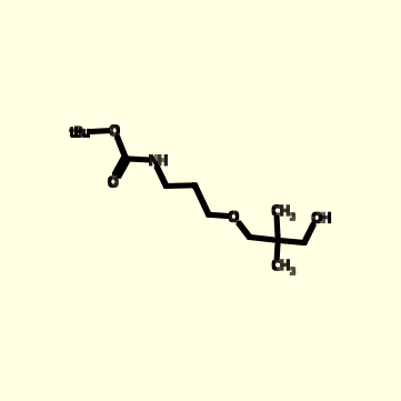 CC(C)(CO)COCCCNC(=O)OC(C)(C)C